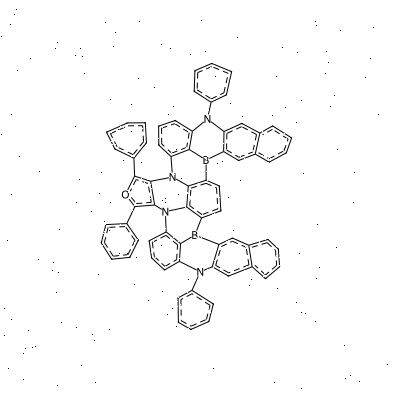 c1ccc(-c2oc(-c3ccccc3)c3c2N2c4cccc5c4B(c4cc6ccccc6cc4N5c4ccccc4)c4ccc5c(c42)N3c2cccc3c2B5c2cc4ccccc4cc2N3c2ccccc2)cc1